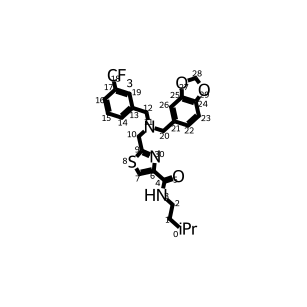 CC(C)CCNC(=O)c1csc(CN(Cc2cccc(C(F)(F)F)c2)Cc2ccc3c(c2)OCO3)n1